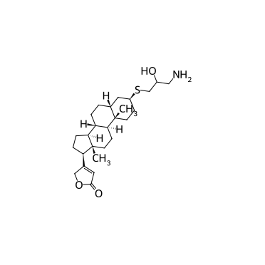 C[C@]12CC[C@H](SCC(O)CN)C[C@H]1CC[C@@H]1[C@@H]2CC[C@]2(C)[C@@H](C3=CC(=O)OC3)CC[C@@H]12